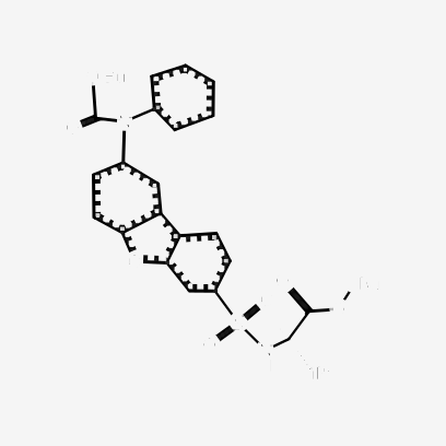 CC(C)COC(=O)N(c1ccccc1)c1ccc2oc3cc(S(=O)(=O)N[C@H](C(=O)OC(C)(C)C)C(C)C)ccc3c2c1